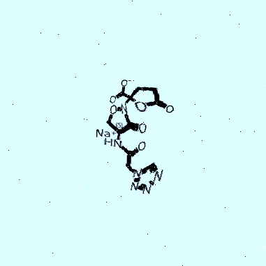 O=C(Cn1cnnn1)N[C@H]1CON(C2(C(=O)[O-])CCC(=O)O2)C1=O.[Na+]